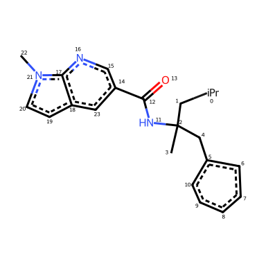 CC(C)CC(C)(Cc1ccccc1)NC(=O)c1cnc2c(ccn2C)c1